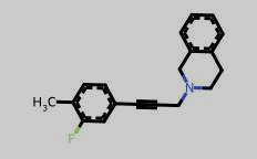 Cc1ccc(C#CCN2CCc3ccccc3C2)cc1F